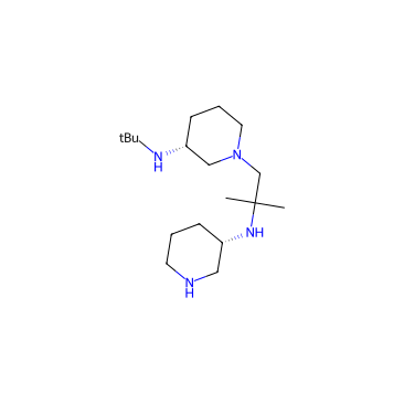 CC(C)(C)N[C@@H]1CCCN(CC(C)(C)N[C@H]2CCCNC2)C1